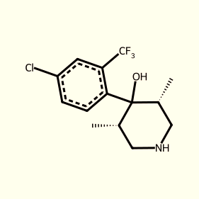 C[C@@H]1CNC[C@H](C)C1(O)c1ccc(Cl)cc1C(F)(F)F